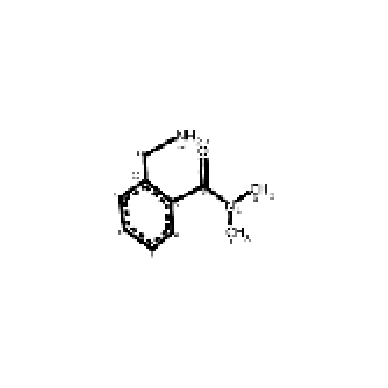 CN(C)C(=O)c1cc[c]cc1CN